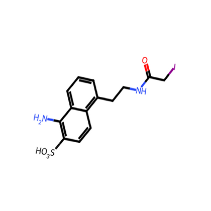 Nc1c(S(=O)(=O)O)ccc2c(CCNC(=O)CI)cccc12